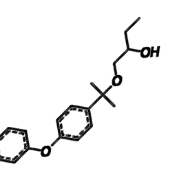 CCC(O)COC(C)(C)c1ccc(Oc2ccccc2)cc1